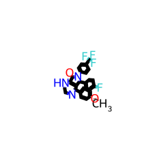 COc1ccc(C2=NCCNC3=C2C(c2ccc(F)cc2)N(c2ccc(C(F)(F)F)cc2)C3=O)cc1